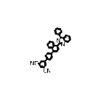 N#Cc1cc(C#N)cc(-c2ccc(-c3ccc(-c4nc(-c5ccccc5)c5ccccc5n4)c4ccccc34)cc2)c1